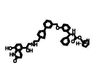 O=C(NC(c1ccccc1)c1cccc(OCc2cccc(-c3ccc(CCNC[C@@H](O)c4ccc(O)c5[nH]c(=O)ccc45)cc3)c2)c1)O[C@H]1CN2CCC1CC2